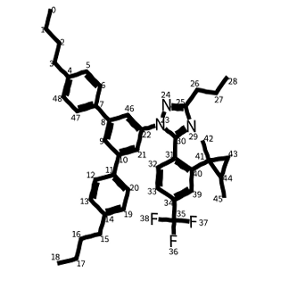 CCCCc1ccc(-c2cc(-c3ccc(CCCC)cc3)cc(-n3nc(CCC)nc3-c3ccc(C(F)(F)F)cc3C3(C)CC3C)c2)cc1